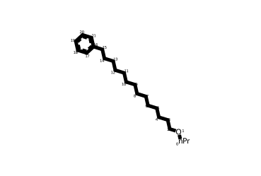 CCCOCCCCCCCCCCCCCCc1ccccc1